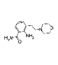 NC(=O)c1cccc(CCN2CCOCC2)c1N